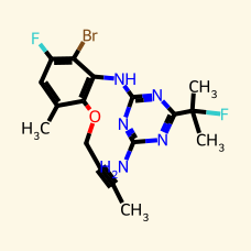 CC#CCOc1c(C)cc(F)c(Br)c1Nc1nc(N)nc(C(C)(C)F)n1